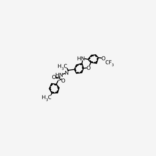 C/C(=N\NS(=O)(=O)c1ccc(C)cc1)c1ccc2c(c1)Nc1ccc(OC(F)(F)F)cc1O2